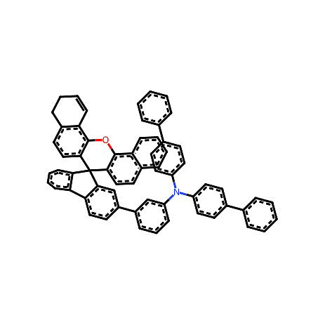 C1=Cc2c(ccc3c2Oc2c(ccc4ccccc24)C32c3ccccc3-c3ccc(-c4cccc(N(c5ccc(-c6ccccc6)cc5)c5ccc(-c6ccccc6)cc5)c4)cc32)CC1